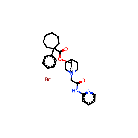 O=C(C[N+]12CCC(CC1)C(OC(=O)C1(c3ccccc3)CCCCCC1)C2)Nc1ccccn1.[Br-]